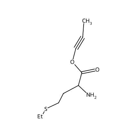 CC#COC(=O)C(N)CCSCC